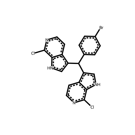 Clc1nccc2c(C(c3ccc(Br)cc3)c3c[nH]c4c(Cl)nccc34)c[nH]c12